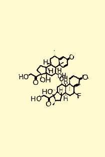 C[C@@H]1C[C@H]2[C@@H]3C[C@H](F)C4=CC(=O)C=C[C@]4(C)[C@H]3[C@@H](O)C[C@]2(C)[C@@]1(O)C(=O)CO.C[C@H]1C[C@@H]2[C@H]([C@@H](O)C[C@@]3(C)[C@H]2CC[C@]3(O)C(=O)CO)[C@@]2(C)C=CC(=O)C=C12